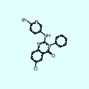 CC(C)c1ccc(Nc2nc3ccc(Cl)cc3c(=O)n2-c2ccccc2)cn1